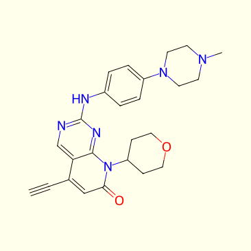 C#Cc1cc(=O)n(C2CCOCC2)c2nc(Nc3ccc(N4CCN(C)CC4)cc3)ncc12